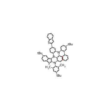 Cc1cc(C(C)(C)C)cc(C)c1N1c2cccc3c2B(c2ccc(-c4cc5ccccc5s4)cc2N3c2ccc(C(C)(C)C)cc2-c2ccccc2)c2c1sc1ccc(C(C)(C)C)cc21